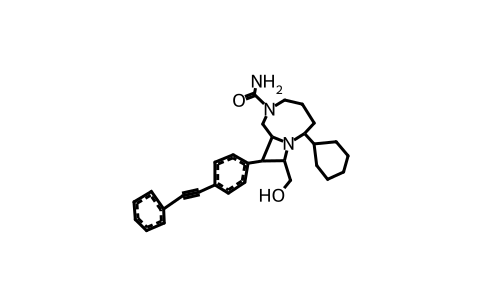 NC(=O)N1CCCC(C2CCCCC2)N2C(CO)C(c3ccc(C#Cc4ccccc4)cc3)C2C1